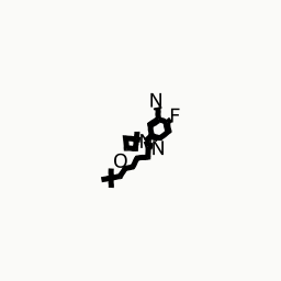 CC(C)(C)CC(=O)CCCc1nc2cc(F)c(C#N)cc2n1C1(C)CCC1